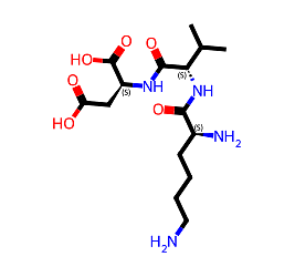 CC(C)[C@H](NC(=O)[C@@H](N)CCCCN)C(=O)N[C@@H](CC(=O)O)C(=O)O